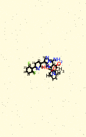 CC(=O)c1c([C@H]2C[C@H]3CC[C@@H](C2)N3C(=O)CO)nc2c(-c3ccc(-c4c(F)cccc4F)nc3)cnn2c1N